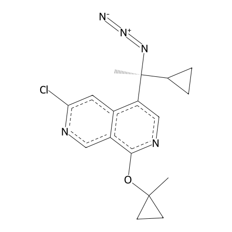 CC1(Oc2ncc([C@@](C)(N=[N+]=[N-])C3CC3)c3cc(Cl)ncc23)CC1